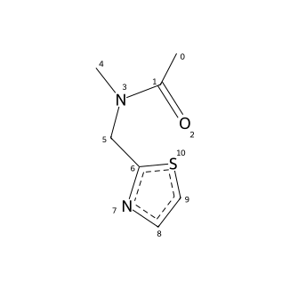 CC(=O)N(C)Cc1nccs1